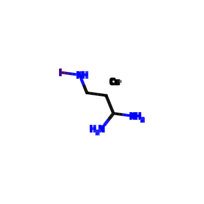 NC(N)CCNI.[Cu]